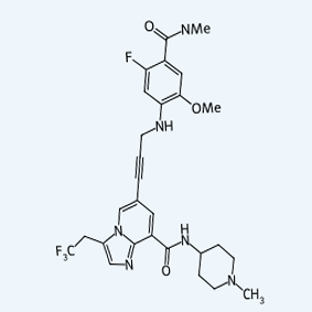 CNC(=O)c1cc(OC)c(NCC#Cc2cc(C(=O)NC3CCN(C)CC3)c3ncc(CC(F)(F)F)n3c2)cc1F